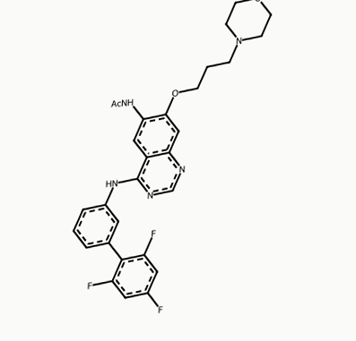 CC(=O)Nc1cc2c(Nc3cccc(-c4c(F)cc(F)cc4F)c3)ncnc2cc1OCCCN1CCOCC1